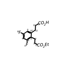 CCOC(=O)CCc1c(F)cc(F)cc1CCC(=O)O